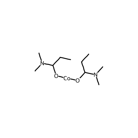 CCC([O][Co][O]C(CC)N(C)C)N(C)C